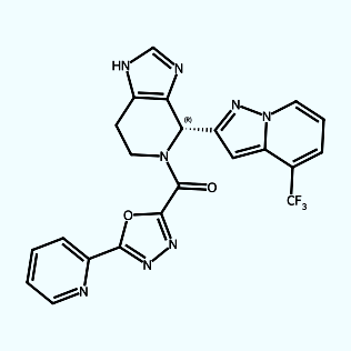 O=C(c1nnc(-c2ccccn2)o1)N1CCc2[nH]cnc2[C@@H]1c1cc2c(C(F)(F)F)cccn2n1